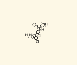 CC1CN(/C(=N\CC2CCCCC2)Nc2ccc(C(CC(N)=O)c3ccc(Cl)cc3Cl)cc2)CC(C)N1